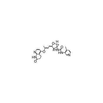 C=C1/C(=C\C=C(/C)Oc2ccnc3c2CCC(=O)N3)O[C@H]2CC12NC(=O)Nc1cnccc1C